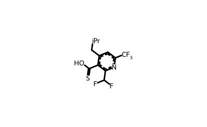 CC(C)Cc1cc(C(F)(F)F)nc(C(F)F)c1C(O)=S